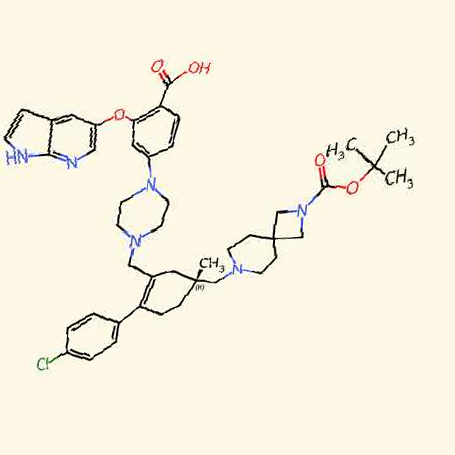 CC(C)(C)OC(=O)N1CC2(CCN(C[C@]3(C)CCC(c4ccc(Cl)cc4)=C(CN4CCN(c5ccc(C(=O)O)c(Oc6cnc7[nH]ccc7c6)c5)CC4)C3)CC2)C1